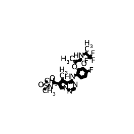 Cc1c(C(=O)N=S(C)(C)=O)cn2ncnc(Nc3ccc(F)cc3O[C@H](C)C(=O)NC(C)C(F)(F)F)c12